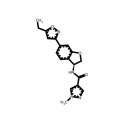 CCc1cc(-c2ccc3c(c2)OC[C@H]3NC(=O)c2cnn(C)c2)no1